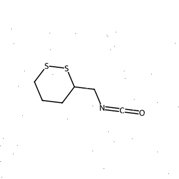 O=C=NCC1CCCSS1